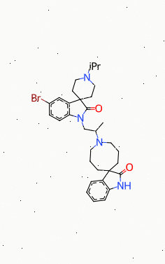 CC(C)N1CCC2(CC1)C(=O)N(CC(C)N1CCCC3(CCC1)C(=O)Nc1ccccc13)c1ccc(Br)cc12